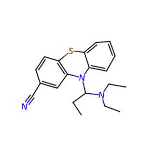 CCC(N(CC)CC)N1c2ccccc2Sc2ccc(C#N)cc21